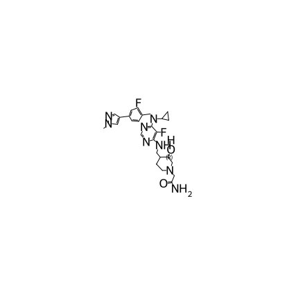 Cn1cc(-c2ccc(CN(c3ncnc(NCC4CCN(CC(N)=O)C[C@@H]4O)c3F)C3CC3)c(F)c2)cn1